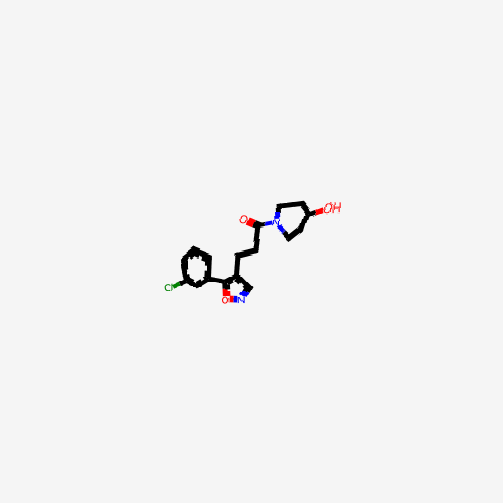 O=C(CCc1cnoc1-c1cccc(Cl)c1)N1CCC(O)CC1